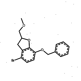 COCC1Cc2c(Br)ccc(OCc3ccccc3)c2O1